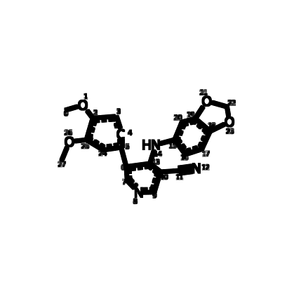 COc1ccc(-c2cncc(C#N)c2Nc2ccc3c(c2)OCO3)cc1OC